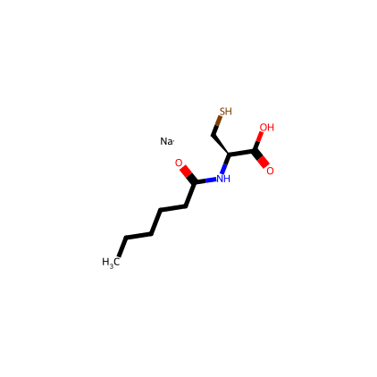 CCCCCC(=O)N[C@@H](CS)C(=O)O.[Na]